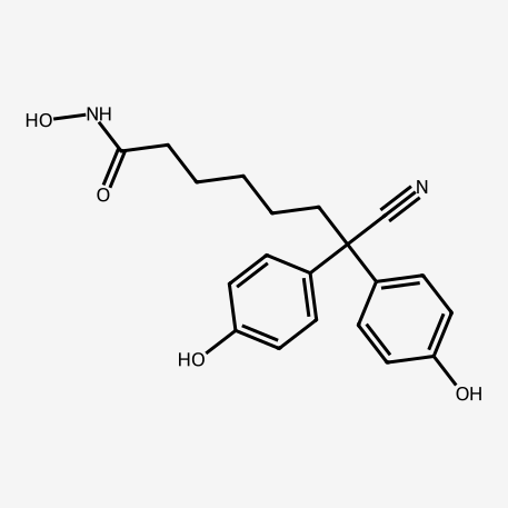 N#CC(CCCCCC(=O)NO)(c1ccc(O)cc1)c1ccc(O)cc1